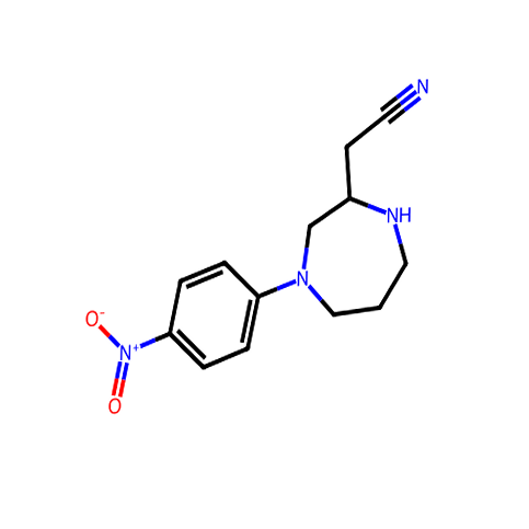 N#CCC1CN(c2ccc([N+](=O)[O-])cc2)CCCN1